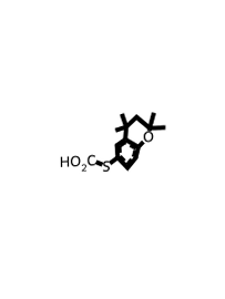 CC1(C)CC(C)(C)c2cc(SC(=O)O)ccc2O1